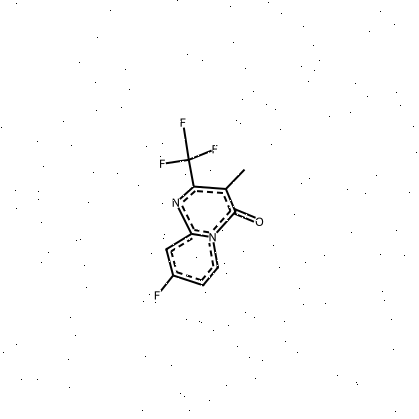 Cc1c(C(F)(F)F)nc2cc(F)ccn2c1=O